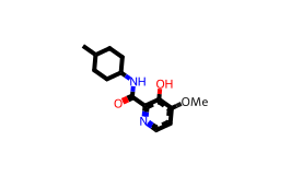 COc1ccnc(C(=O)NC2CCC(C)CC2)c1O